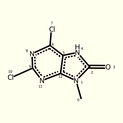 Cn1c(=O)[nH]c2c(Cl)nc(Cl)nc21